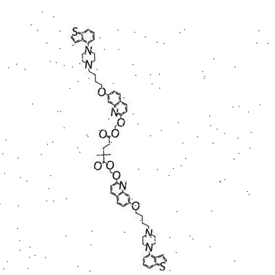 CC(C)(CCC(=O)OCOc1ccc2ccc(OCCCCN3CCN(c4cccc5sccc45)CC3)cc2n1)C(=O)OCOc1ccc2ccc(OCCCCN3CCN(c4cccc5sccc45)CC3)cc2n1